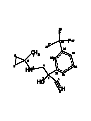 C#CC(O)(CNC1(C)CC1)c1cccc(C(F)(F)F)n1